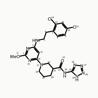 COc1nc(NCCc2ccc(Cl)cc2Cl)cc(N2CCCC(C(=O)Nc3nnn[nH]3)C2)n1